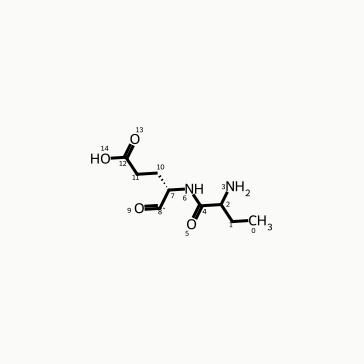 CCC(N)C(=O)N[C@H]([C]=O)CCC(=O)O